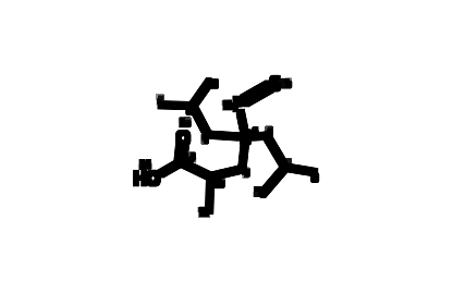 CC(C)CS(CC(C)C)(CC(C)C(=O)O)P=S